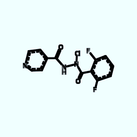 O=C(NN(Cl)C(=O)c1c(F)cccc1F)c1ccncc1